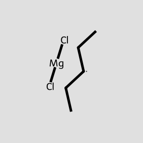 CC[CH]CC.[Cl][Mg][Cl]